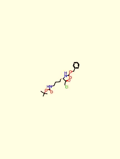 CC(C)(C)OC(=O)NCCCC[C@H](NC(=O)OCc1ccccc1)C(=O)CCl